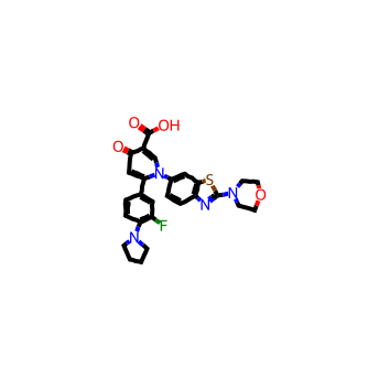 O=C(O)c1cn(-c2ccc3nc(N4CCOCC4)sc3c2)c(-c2ccc(N3CCCC3)c(F)c2)cc1=O